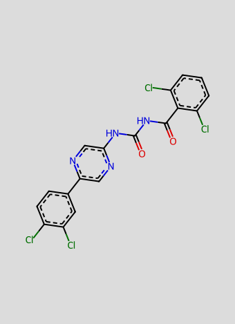 O=C(NC(=O)c1c(Cl)cccc1Cl)Nc1cnc(-c2ccc(Cl)c(Cl)c2)cn1